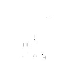 Cc1ccc2c(c1)[C@H]1NC(=O)O[C@H]1C2